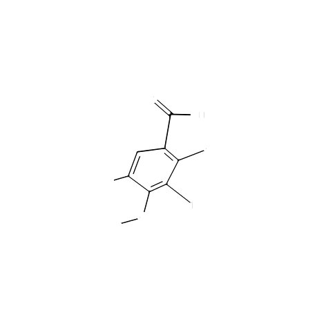 COc1c(F)cc(C(C)=O)c(C)c1F